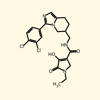 CCN1CC(C(=O)NCC2CCc3cnc(-c4ccc(Cl)c(Cl)c4)n3C2)=C(O)C1=O